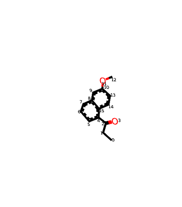 CCC(=O)c1cccc2cc(OC)ccc12